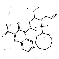 C=CCN(C(CC)CC(C)n1c(=O)c(C(=O)O)nc2ccccc21)C(C)(C)C1CCCCCCC1